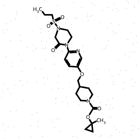 CCCS(=O)(=O)N1CCN(c2ccc(OCC3CCN(C(=O)OC4(C)CC4)CC3)cn2)C(=O)C1